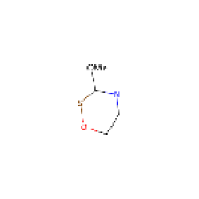 COC1[N]CCOS1